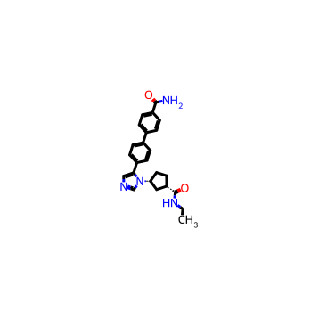 CCNC(=O)[C@H]1CC[C@@H](n2cncc2-c2ccc(-c3ccc(C(N)=O)cc3)cc2)C1